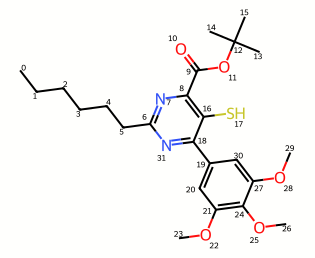 CCCCCCc1nc(C(=O)OC(C)(C)C)c(S)c(-c2cc(OC)c(OC)c(OC)c2)n1